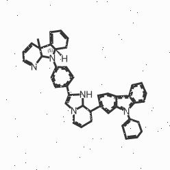 CC12C=CC=NC1N(c1ccc(C3=CN4C=CCC(c5ccc6c7ccccc7n(C7=CC=CCC7)c6c5)C4N3)cc1)[C@H]1CC=CC=C12